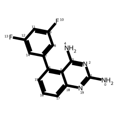 Nc1nc(N)c2c(-c3cc(F)cc(F)c3)cccc2n1